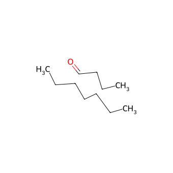 CCCC=O.CCCCCCC